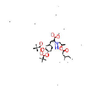 CCC(C)CC(=O)OC(C)CN[C@@H](Cc1ccc(OC(=O)C(C)(C)C)c(OC(=O)C(C)(C)C)c1)C(=O)OC